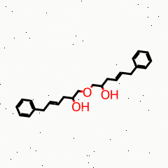 OC(CC=CCc1ccccc1)COCC(O)CC=CCc1ccccc1